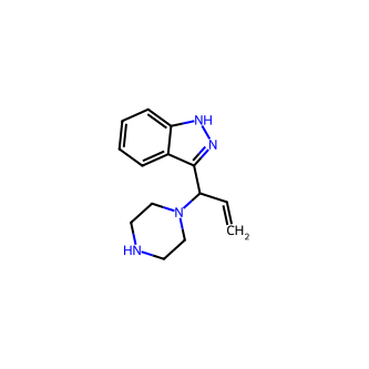 C=CC(c1n[nH]c2ccccc12)N1CCNCC1